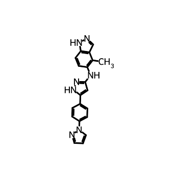 Cc1c(Nc2cc(-c3ccc(-n4cccn4)cc3)[nH]n2)ccc2[nH]ncc12